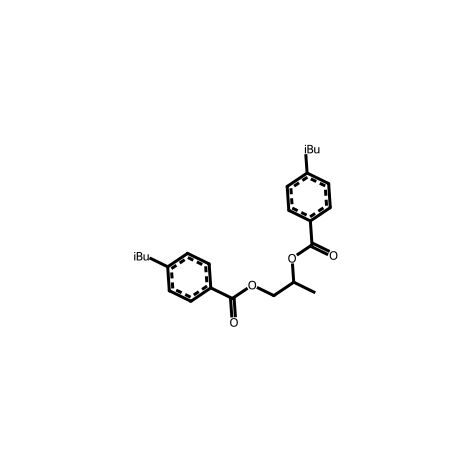 CCC(C)c1ccc(C(=O)OCC(C)OC(=O)c2ccc(C(C)CC)cc2)cc1